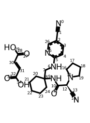 N#Cc1ccc(NCC2(NC(=O)[C@H](C#N)N3CCCC3)CCCCC2)nc1.O=C(O)C=CC(=O)O